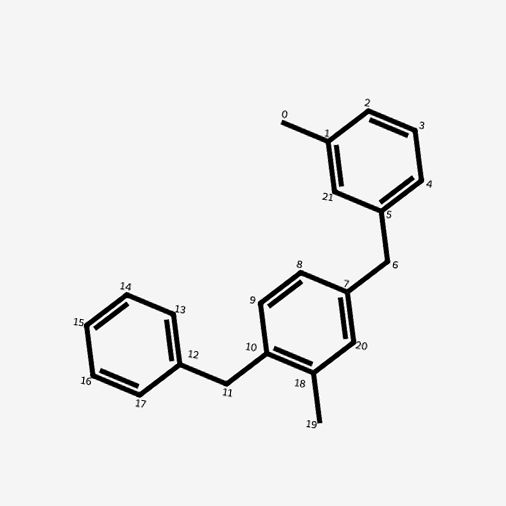 Cc1cccc(Cc2ccc(Cc3ccccc3)c(C)c2)c1